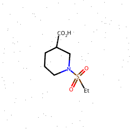 CCS(=O)(=O)N1CCCC(C(=O)O)C1